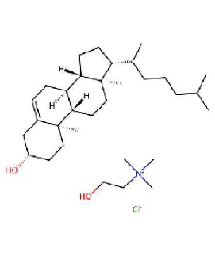 CC(C)CCCC(C)[C@H]1CC[C@H]2[C@@H]3CC=C4C[C@@H](O)CC[C@]4(C)[C@H]3CC[C@]12C.C[N+](C)(C)CCO.[Cl-]